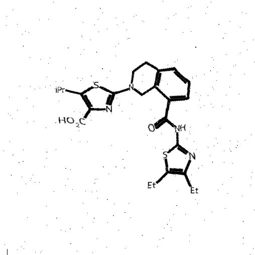 CCc1nc(NC(=O)c2cccc3c2CN(c2nc(C(=O)O)c(C(C)C)s2)CC3)sc1CC